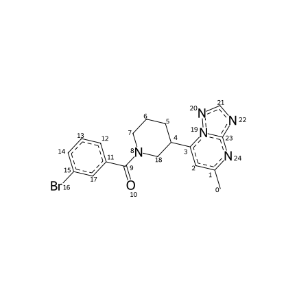 Cc1cc(C2CCCN(C(=O)c3cccc(Br)c3)C2)n2ncnc2n1